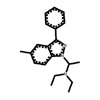 CCN(CC)C(C)n1nc(-c2ccccc2)c2cc(C)ccc21